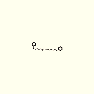 CC(CCCCC(=O)NCCCCCCCc1ccccc1)c1ccccc1.Cl